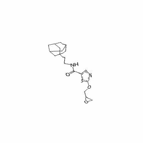 O=C(NCCC12CC3CC(CC(C3)C1)C2)c1cnc(OCC2CO2)s1